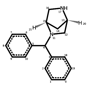 c1ccc(C(c2ccccc2)N2C[C@H]3C[C@@H]2CN3)cc1